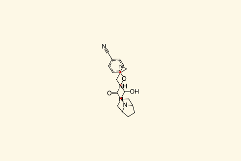 N#Cc1ccc(OCC(O)CN2C3CCC2CN(C(=O)NCC2CC2)C3)cc1